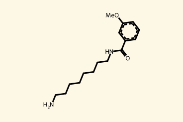 COc1cccc(C(=O)NCCCCCCCCN)c1